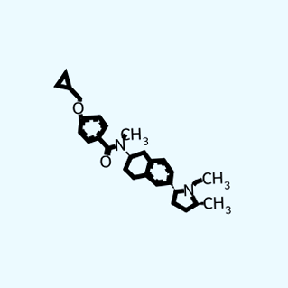 CCN1[C@@H](c2ccc3c(c2)CC[C@H](N(C)C(=O)c2ccc(OCC4CC4)cc2)C3)CC[C@@H]1C